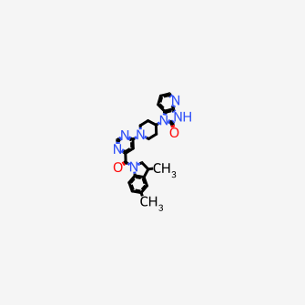 Cc1ccc2c(c1)C(C)CN2C(=O)c1cc(N2CCC(n3c(=O)[nH]c4ncccc43)CC2)ncn1